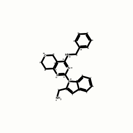 NCc1cc2ccccc2n1-c1nc2c(c(NCc3ccccc3)n1)COCC2